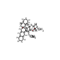 C=CCO[C@H](c1ccnc2ccccc12)[C@@H]1C[C@@H]2CC[N+]1(Cc1cccc3cc4ccccc4cc13)C[C@@H]2C=C.[Br-]